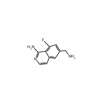 NCc1cc(F)c2c(N)nccc2c1